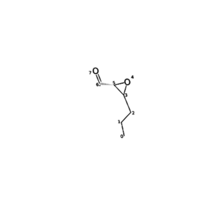 CCCC1O[C@H]1[C]=O